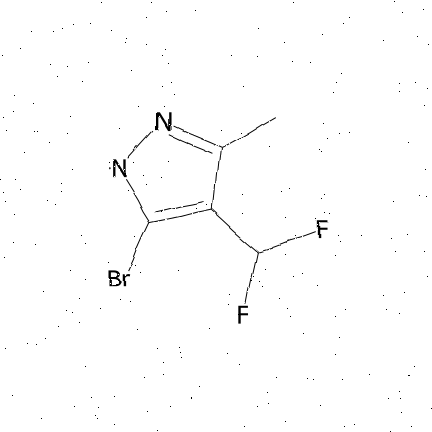 CC1=N[N]C(Br)=C1C(F)F